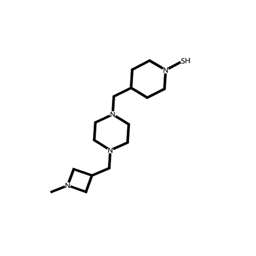 CN1CC(CN2CCN(CC3CCN(S)CC3)CC2)C1